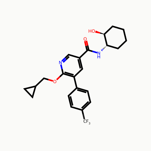 O=C(N[C@H]1CCCC[C@@H]1O)c1cnc(OCC2CC2)c(-c2ccc(C(F)(F)F)cc2)c1